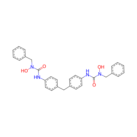 O=C(Nc1ccc(Cc2ccc(NC(=O)N(O)Cc3ccccc3)cc2)cc1)N(O)Cc1ccccc1